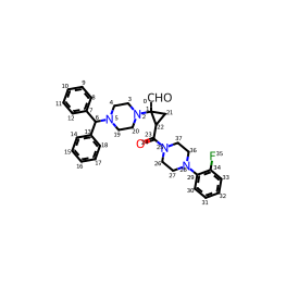 O=CC1(N2CCN(C(c3ccccc3)c3ccccc3)CC2)CC1C(=O)N1CCN(c2ccccc2F)CC1